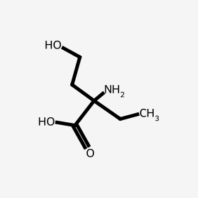 CCC(N)(CCO)C(=O)O